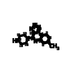 Cc1ccc2c(c1)nc(N1CCNCC1)c1nnnn12